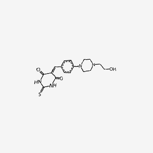 O=C1NC(=S)NC(=O)C1=Cc1ccc(N2CCN(CCO)CC2)cc1